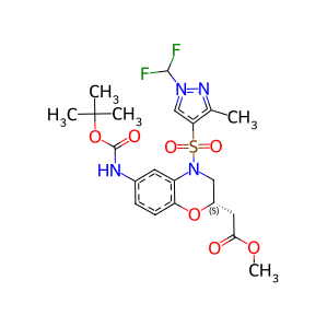 COC(=O)C[C@H]1CN(S(=O)(=O)c2cn(C(F)F)nc2C)c2cc(NC(=O)OC(C)(C)C)ccc2O1